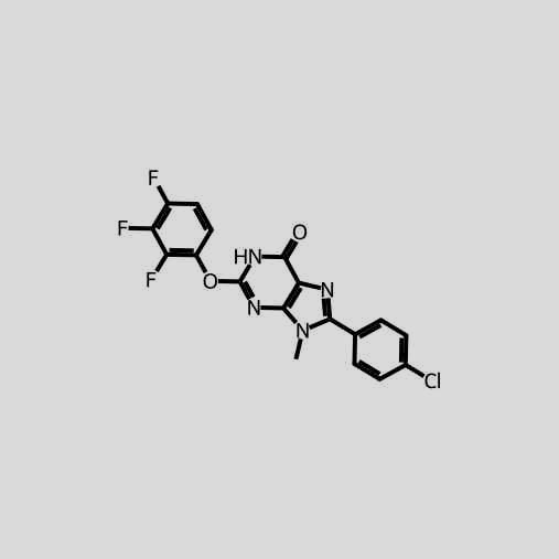 Cn1c(-c2ccc(Cl)cc2)nc2c(=O)[nH]c(Oc3ccc(F)c(F)c3F)nc21